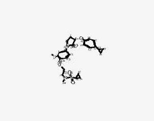 COc1cc(N2CC[C@H](Oc3ccc(C4CC4)cc3)C2=O)ccc1OCCN(C)S(=O)(=O)C1CC1